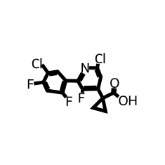 O=C(O)C1(c2cc(Cl)nc(-c3cc(Cl)c(F)cc3F)c2F)CC1